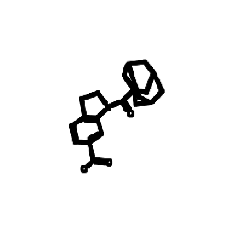 O=C(N1CCc2ccc([N+](=O)[O-])cc21)C12CC3CC(CC(C3)C1)C2